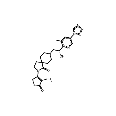 CC1=C(N2CCC3(CCN(C[C@@H](O)c4ncc(-n5cnnn5)cc4F)CC3)C2=O)COC1=O